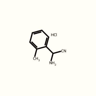 Cc1ccccc1C(N)C#N.Cl